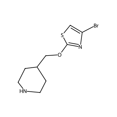 Brc1csc(OCC2CCNCC2)n1